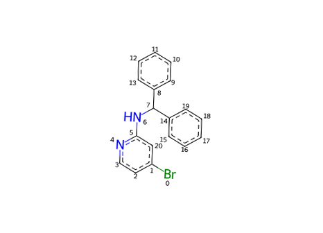 Brc1ccnc(NC(c2ccccc2)c2ccccc2)c1